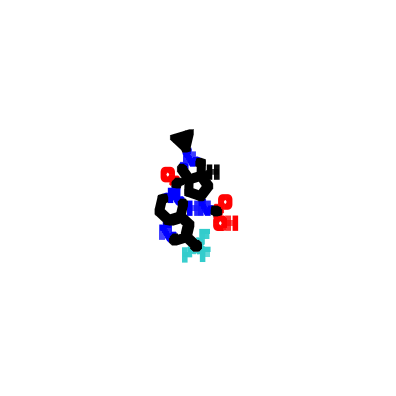 O=C(O)N[C@@H]1C[C@H]2CN(C3CC3)C[C@@]2(C(=O)N2CCc3ncc(C(F)(F)F)cc3C2)C1